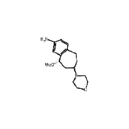 CO[C@H]1CC(N2CCOCC2)CCc2ccc(N)cc21